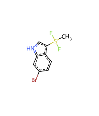 CS(F)(F)c1c[nH]c2cc(Br)ccc12